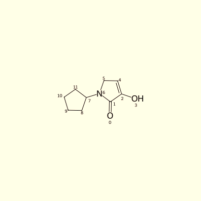 O=C1C(O)=CCN1C1CCCC1